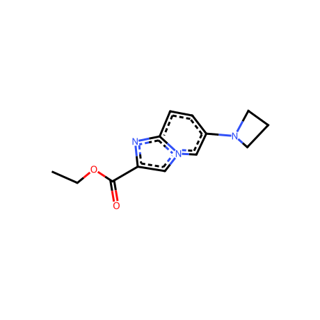 CCOC(=O)c1cn2cc(N3CCC3)ccc2n1